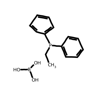 CCP(c1ccccc1)c1ccccc1.OB(O)O